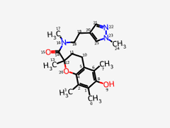 Cc1c(C)c2c(c(C)c1O)CCC(C)(C(=O)N(C)CCc1cnn(C)c1)O2